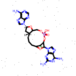 NC1=Nc2c(ncn2C2OC3CCC[C@@H]4C[C@H](n5cnc6c(N)ncnc65)OC4COP(=O)(O)OC2C3F)C(N)N1